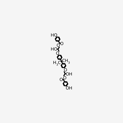 CC(C)(c1ccc(OCC(O)COC(=O)c2ccc(O)cc2)cc1)c1ccc(OCC(O)COC(=O)c2ccc(O)cc2)cc1